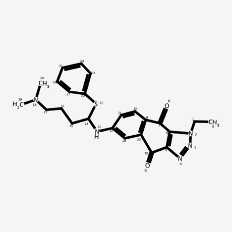 CCn1nnc2c1C(=O)c1ccc(NC(CCCN(C)C)Sc3ccccc3)cc1C2=O